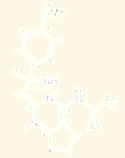 CCC(CC)NC1=C2CCCC2=NC2=CC(C)(c3ccc(OC)cc3)NN21